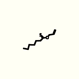 C=CCOC(=S)CCCCCC